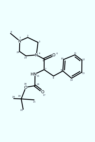 CN1CCN(C(=O)C(Cc2ccccc2)NC(=O)OC(C)(C)C)CC1